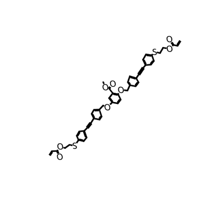 C=CC(=O)OCCSc1ccc(C#Cc2ccc(COc3ccc(OCc4ccc(C#Cc5ccc(SCCOC(=O)C=C)cc5)cc4)c(C(=O)OC)c3)cc2)cc1